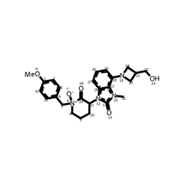 COc1ccc(C[N+]2([O-])CCCC(n3c(=O)n(C)c4c(N5CC(CO)C5)cccc43)C2=O)cc1